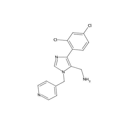 NCc1c(-c2ccc(Cl)cc2Cl)ncn1Cc1ccncc1